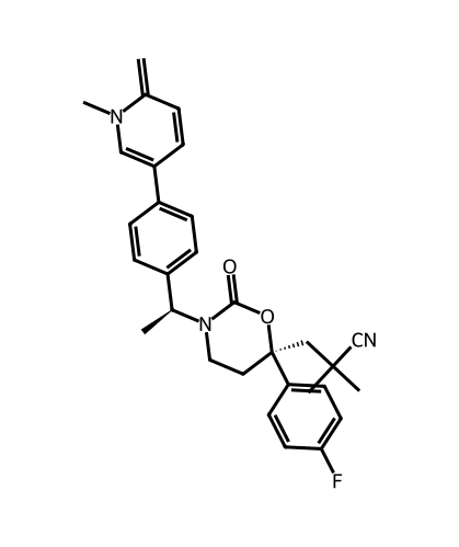 C=C1C=CC(c2ccc([C@H](C)N3CC[C@](CC(C)(C)C#N)(c4ccc(F)cc4)OC3=O)cc2)=CN1C